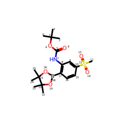 CC(C)(C)OC(=O)Nc1cc(S(C)(=O)=O)ccc1B1OC(C)(C)C(C)(C)O1